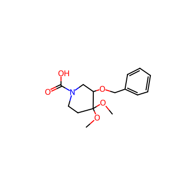 COC1(OC)CCN(C(=O)O)CC1OCc1ccccc1